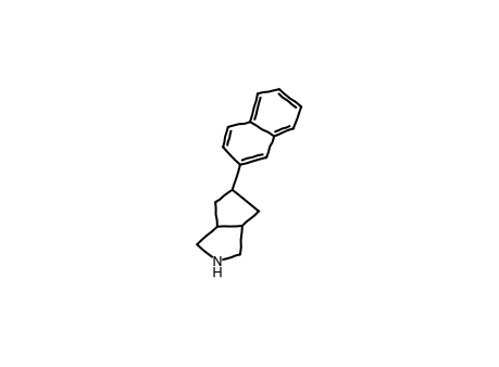 c1ccc2cc(C3CC4CNCC4C3)ccc2c1